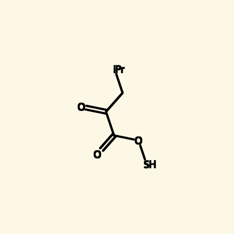 CC(C)CC(=O)C(=O)OS